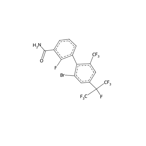 NC(=O)c1cccc(-c2c(Br)cc(C(F)(C(F)(F)F)C(F)(F)F)cc2C(F)(F)F)c1F